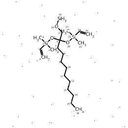 C=C[Si](C)(C)OC(CCCCCCCCCC)(CO[SiH3])O[Si](C)(C)C=C